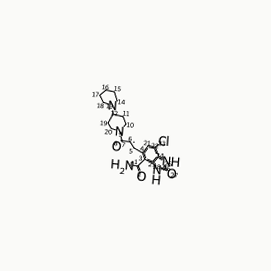 NC(=O)c1c(C[CH]C(=O)N2CCC(N3CCCCC3)CC2)cc(Cl)c2[nH]c(=O)[nH]c12